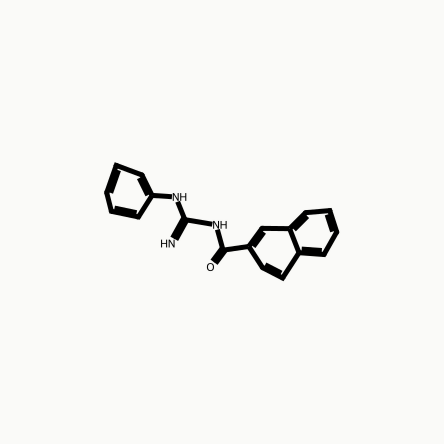 N=C(NC(=O)c1ccc2ccccc2c1)Nc1ccccc1